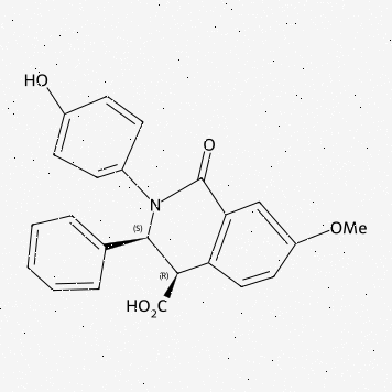 COc1ccc2c(c1)C(=O)N(c1ccc(O)cc1)[C@H](c1ccccc1)[C@@H]2C(=O)O